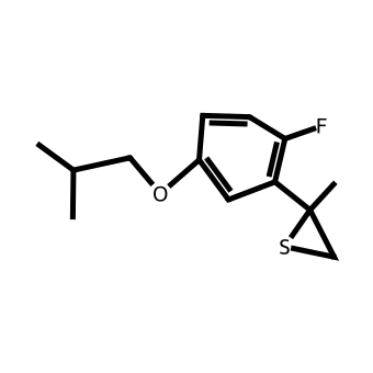 CC(C)COc1ccc(F)c(C2(C)CS2)c1